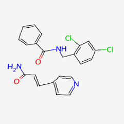 NC(=O)/C=C/c1ccncc1.O=C(NCc1ccc(Cl)cc1Cl)c1ccccc1